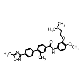 COc1ccc(NC(=O)c2ccc(-c3ccc(-c4noc(C)n4)cc3)c(C)c2)cc1OCCN(C)C